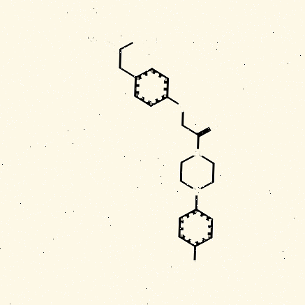 CO[C@@H](Cc1ccc(OCC(=O)N2CCN(c3ccc(Cl)cc3)CC2)cc1)C(=O)O